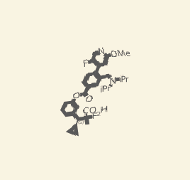 COc1cc(-c2ccc(C(=O)Oc3cccc([C@H](C4CC4)[C@@](C)(F)C(=O)O)c3)cc2CN(C(C)C)C(C)C)c(F)cn1